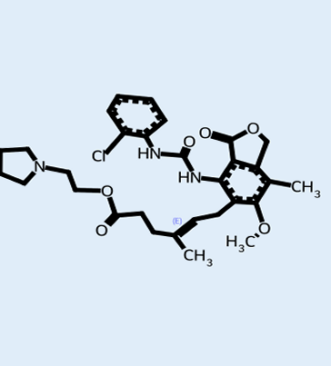 COc1c(C)c2c(c(NC(=O)Nc3ccccc3Cl)c1C/C=C(\C)CCC(=O)OCCN1CCCC1)C(=O)OC2